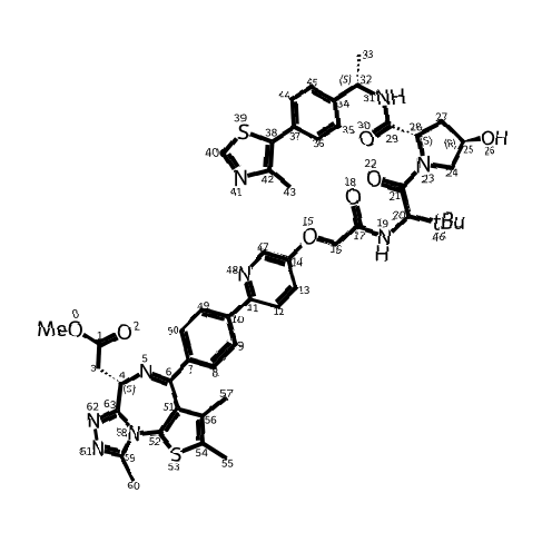 COC(=O)C[C@@H]1N=C(c2ccc(-c3ccc(OCC(=O)NC(C(=O)N4C[C@H](O)C[C@H]4C(=O)N[C@@H](C)c4ccc(-c5scnc5C)cc4)C(C)(C)C)cn3)cc2)c2c(sc(C)c2C)-n2c(C)nnc21